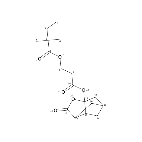 CCC(C)(C)C(=O)OCCC(=O)OC12CC3CC(C(=O)O1)C2C3